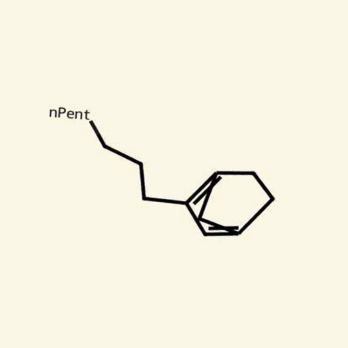 CCCCCCCCC1=C2CCC(=C1)C2